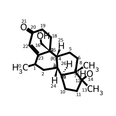 CC1C[C@@H]2[C@@H](CC[C@@]3(C)[C@H]2CCC3(C)O)[C@@]2(CO)CCC(=O)C=C12